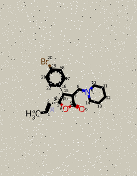 C/C=C/[C@H]1OC(=O)C(CN2CCCCC2)[C@H]1c1ccc(Br)cc1